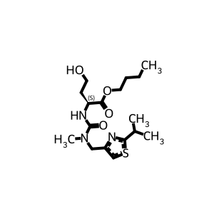 CCCCOC(=O)[C@H](CCO)NC(=O)N(C)Cc1csc(C(C)C)n1